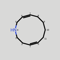 C1=CCCNCC=CCCCC1